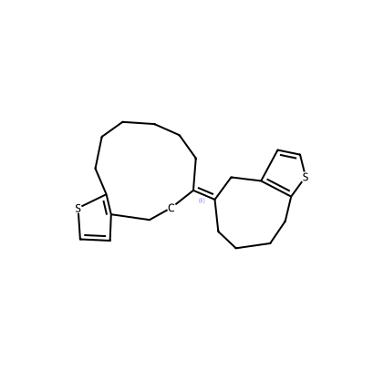 c1cc2c(s1)CCCCCC/C(=C1/CCCCc3sccc3C1)CC2